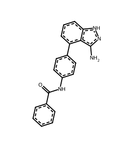 Nc1n[nH]c2cccc(-c3ccc(NC(=O)c4ccccc4)cc3)c12